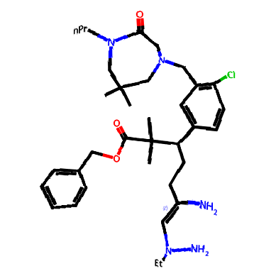 CCCN1CC(C)(C)CN(Cc2cc(C(CC/C(N)=C/N(N)CC)C(C)(C)C(=O)OCc3ccccc3)ccc2Cl)CC1=O